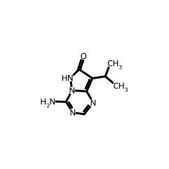 CC(C)c1c(=O)[nH]n2c(N)ncnc12